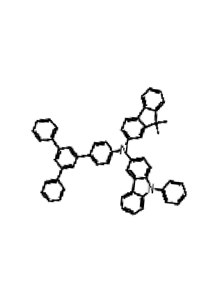 CC1(C)c2ccccc2-c2ccc(N(c3ccc(-c4cc(-c5ccccc5)cc(-c5ccccc5)c4)cc3)c3ccc4c(c3)c3ccccc3n4-c3ccccc3)cc21